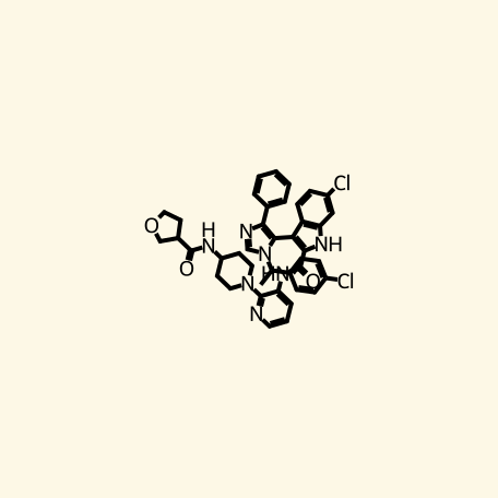 CC(c1ccc(Cl)cc1)n1cnc(-c2ccccc2)c1-c1c(C(=O)Nc2cccnc2N2CCC(NC(=O)C3CCOC3)CC2)[nH]c2cc(Cl)ccc12